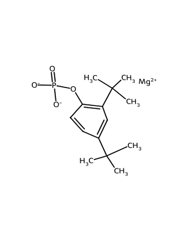 CC(C)(C)c1ccc(OP(=O)([O-])[O-])c(C(C)(C)C)c1.[Mg+2]